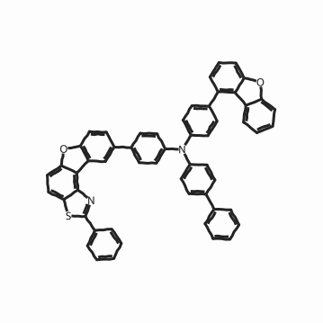 c1ccc(-c2ccc(N(c3ccc(-c4ccc5oc6ccc7sc(-c8ccccc8)nc7c6c5c4)cc3)c3ccc(-c4cccc5oc6ccccc6c45)cc3)cc2)cc1